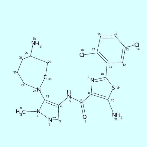 Cn1ncc(NC(=O)c2nc(-c3cc(Cl)ccc3Cl)sc2N)c1N1CCCC(N)CC1